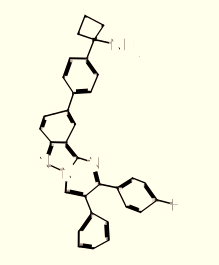 NC1(c2ccc(-c3ccc4nn5cc(-c6ccccc6)c(-c6ccc(F)cc6)nc5c4c3)cc2)CCC1